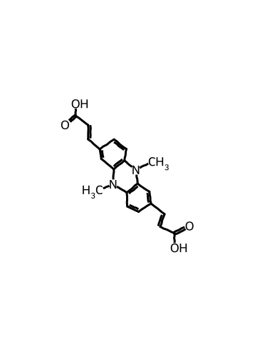 CN1c2ccc(C=CC(=O)O)cc2N(C)c2ccc(C=CC(=O)O)cc21